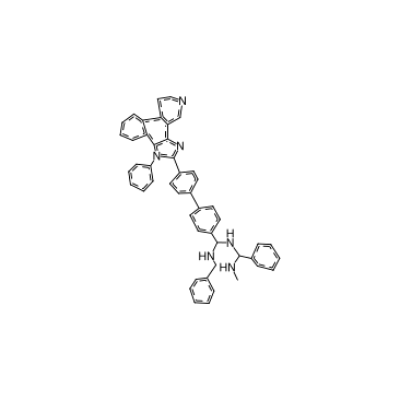 CNC(NC(NCc1ccccc1)c1ccc(-c2ccc(-c3nc4c5cnccc5c5ccccc5c4n3-c3ccccc3)cc2)cc1)c1ccccc1